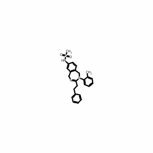 Cc1ccccc1N1Cc2ccc(NS(C)(=O)=O)cc2CN=C1CCc1ccccc1